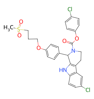 CS(=O)(=O)CCCOc1ccc(C2c3[nH]c4ccc(Cl)cc4c3CCN2C(=O)Oc2ccc(Cl)cc2)cc1